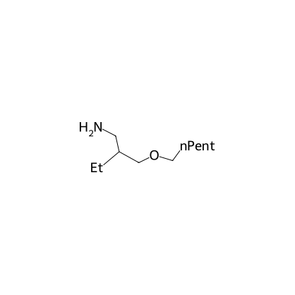 CCCCCCOCC(CC)CN